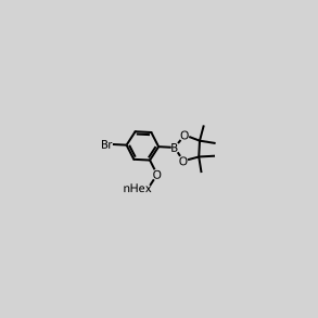 CCCCCCOc1cc(Br)ccc1B1OC(C)(C)C(C)(C)O1